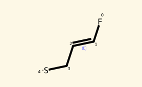 F/C=C/C[S]